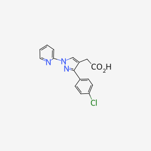 O=C(O)Cc1cn(-c2ccccn2)nc1-c1ccc(Cl)cc1